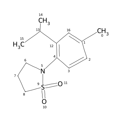 Cc1ccc(N2CCCS2(=O)=O)c(C(C)C)c1